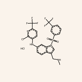 CNCc1cn(S(=O)(=O)c2cccc(C(F)(F)F)c2)c2cc(Nc3ccc(C(F)(F)F)nc3Cl)ccc12.Cl